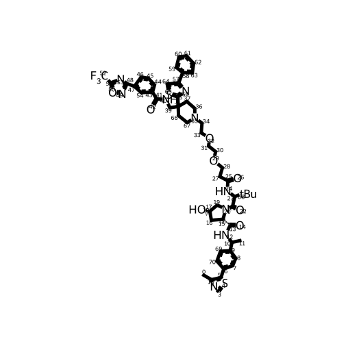 Cc1ncsc1-c1ccc(C(C)NC(=O)[C@@H]2C[C@@H](O)CN2C(=O)C(NC(=O)CCOCCOCCN2CCC(CNC(=O)c3cccc(-c4noc(C(F)(F)F)n4)c3)(c3nc(-c4ccccc4)cs3)CC2)C(C)(C)C)cc1